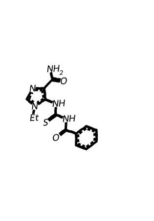 CCn1cnc(C(N)=O)c1NC(=S)NC(=O)c1ccccc1